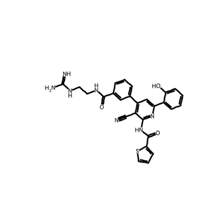 N#Cc1c(-c2cccc(C(=O)NCCNC(=N)N)c2)cc(-c2ccccc2O)nc1NC(=O)c1cccs1